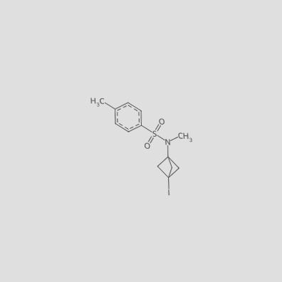 Cc1ccc(S(=O)(=O)N(C)C23CC(I)(C2)C3)cc1